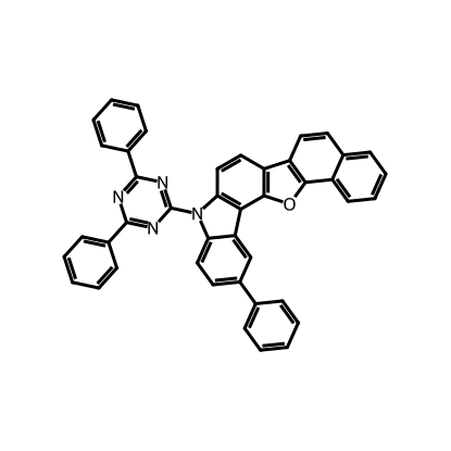 c1ccc(-c2ccc3c(c2)c2c4oc5c6ccccc6ccc5c4ccc2n3-c2nc(-c3ccccc3)nc(-c3ccccc3)n2)cc1